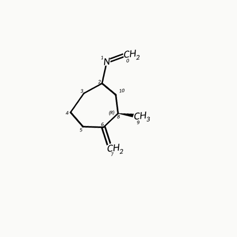 C=NC1CCCC(=C)[C@H](C)C1